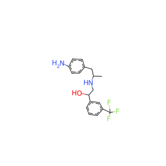 CC(Cc1ccc(N)cc1)NCC(O)c1cccc(C(F)(F)F)c1